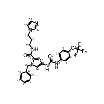 O=C(Nc1ccc(OC(F)(F)F)cc1)Nc1cn(Cc2ccccc2)c(C(=O)NCCCn2ccnc2)n1